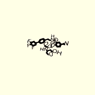 CCC(CC(=O)O)NC(=O)COc1cc(-c2cc(F)c(F)c(F)c2)ccc1CCNS(=O)(=O)c1cc(C#N)ccc1OC